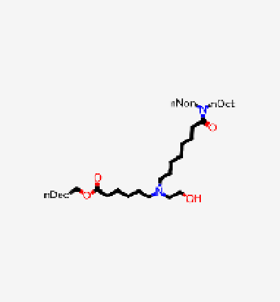 CCCCCCCCCCCOC(=O)CCCCCN(CCO)CCCCCCCC(=O)N(CCCCCCCC)CCCCCCCCC